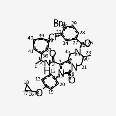 C[C@H](NC(=O)c1c2n(c(=O)n1-c1ccc(OC3CC3)cc1)C[C@H](C)N(C(=O)c1ccc(Br)c(Cl)c1)C2)c1ccccc1